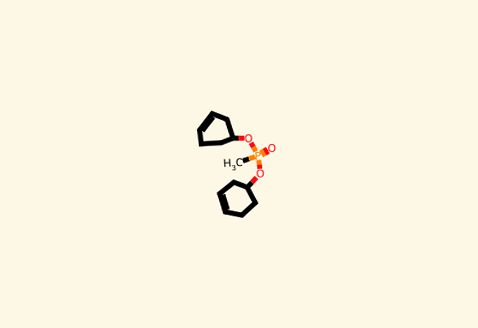 CP(=O)(OC1CC=CCC1)OC1CC=CCC1